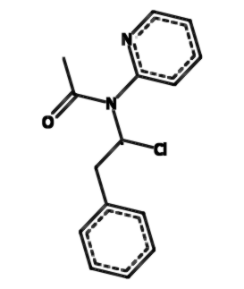 CC(=O)N([C](Cl)Cc1ccccc1)c1ccccn1